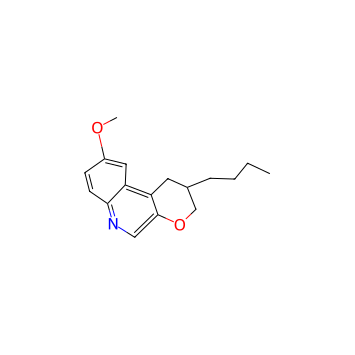 CCCCC1COc2cnc3ccc(OC)cc3c2C1